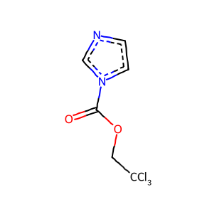 O=C(OCC(Cl)(Cl)Cl)n1ccnc1